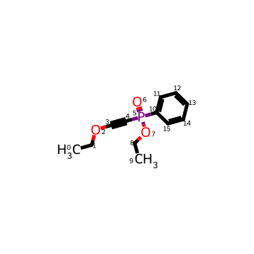 CCOC#CP(=O)(OCC)c1ccccc1